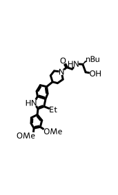 CCCC[C@@H](CO)NCC(=O)N1CCC(c2ccc3[nH]c(-c4ccc(OC)c(OC)c4)c(CC)c3c2)CC1